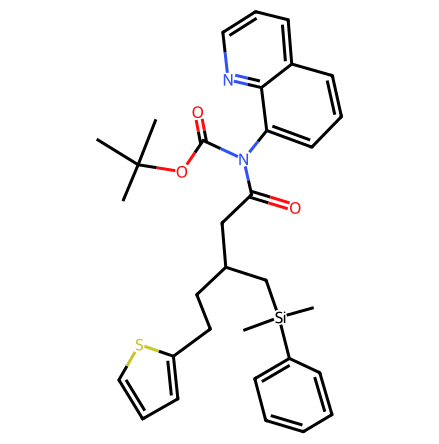 CC(C)(C)OC(=O)N(C(=O)CC(CCc1cccs1)C[Si](C)(C)c1ccccc1)c1cccc2cccnc12